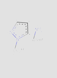 CCCCCN.O=C(O)n1cccn1